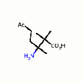 CC(=O)CCC(C)(N)C(C)(C)C(=O)O